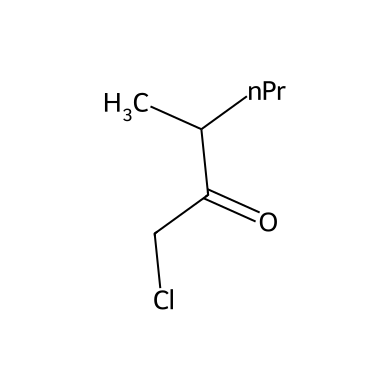 CCCC(C)C(=O)CCl